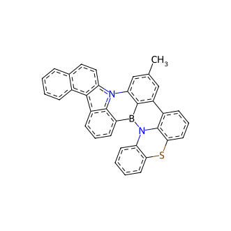 Cc1cc2c3c(c1)-n1c4ccc5ccccc5c4c4cccc(c41)B3N1c3ccccc3Sc3cccc-2c31